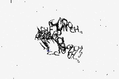 CCC(C)OC(=O)N[C@H]1CCCCC/C=C\[C@@H]2C[C@@]2(C(=O)NS(=O)(=O)C2(C)CC2)NC(=O)[C@@H]2C[C@]3(CCc4c(c(C(F)F)nc5ccc(OC)nc45)O3)CN2C1=O